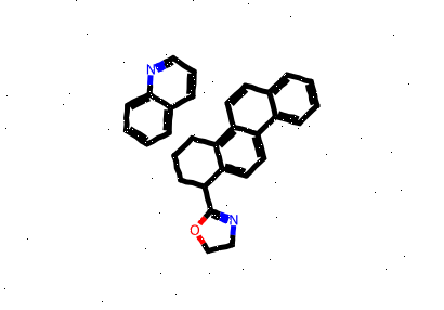 c1ccc2c(c1)ccc1c3c(ccc12)C(C1=NCCO1)CCC3.c1ccc2ncccc2c1